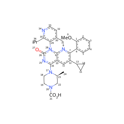 COc1ccccc1-c1nc2c(cc1C1CC1)c(N1CCN(C(=O)O)C[C@@H]1C)nc(=O)n2-c1c(C)ccnc1C(C)C